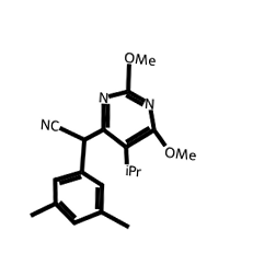 COc1nc(OC)c(C(C)C)c(C(C#N)c2cc(C)cc(C)c2)n1